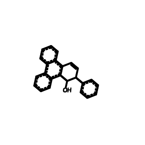 OC1c2c(c3ccccc3c3ccccc23)C=CC1c1ccccc1